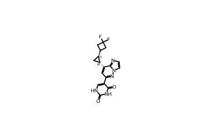 O=c1[nH]cc(-c2cc([C@@H]3C[C@H]3C3CC(F)(F)C3)c3nccn3n2)c(=O)[nH]1